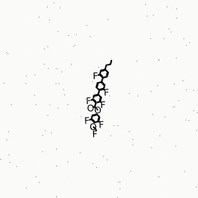 CCCc1ccc(-c2ccc(-c3cc(F)c(C(=O)Oc4cc(F)c(OCF)c(F)c4)c(F)c3)c(F)c2)c(F)c1